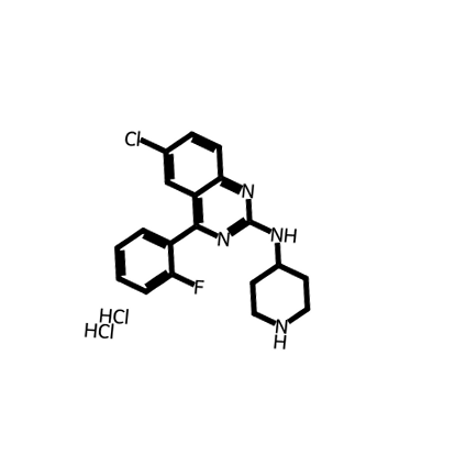 Cl.Cl.Fc1ccccc1-c1nc(NC2CCNCC2)nc2ccc(Cl)cc12